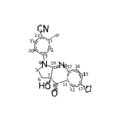 Cc1cc(N2CC[C@@]3(O)C(=O)c4cc(Cl)ccc4N=C23)ccc1C#N